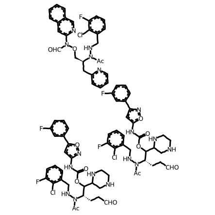 CC(=O)N(NCc1cccc(F)c1Cl)[C@@H](CCC=O)C(OC(=O)Nc1cc(-c2cccc(F)c2)no1)C1CNCCN1.CC(=O)N(NCc1cccc(F)c1Cl)[C@@H](CCC=O)C(OC(=O)Nc1cc(-c2cccc(F)c2)on1)C1CNCCN1.CC(=O)N(NCc1cccc(F)c1Cl)[C@H](CON(C=O)c1cc2ccccc2cn1)Cc1ccccn1